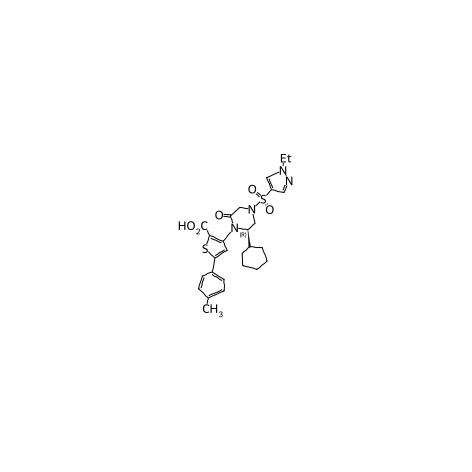 CCn1cc(S(=O)(=O)N2CC(=O)N(c3cc(-c4ccc(C)cc4)sc3C(=O)O)[C@H](C3CCCCC3)C2)cn1